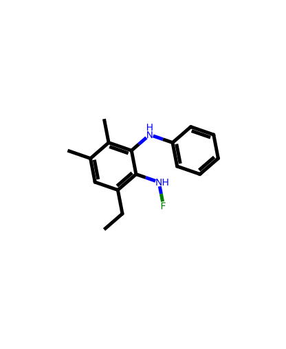 CCc1cc(C)c(C)c(Nc2ccccc2)c1NF